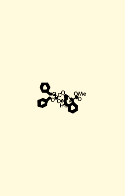 COC(=O)[C@H]1c2ccccc2[C@H]2CN1C(=O)N2OP(=O)(OCc1ccccc1)OCc1ccccc1